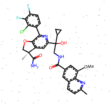 COc1cc(C(=O)NCC(O)(c2cc3c(c(-c4ccc(F)c(F)c4Cl)n2)OC[C@]3(C)C(N)=O)C2CC2)cc2ccc(C)nc12